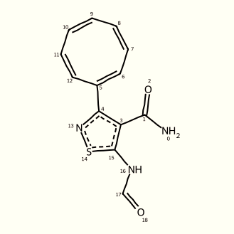 NC(=O)c1c(C2=C/C=C\C=C/C=C\2)nsc1NC=O